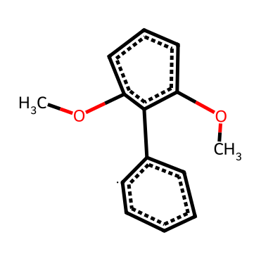 COc1cccc(OC)c1-c1[c]cccc1